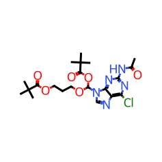 CC(=O)Nc1nc(Cl)c2ncn(C(OCCCOC(=O)C(C)(C)C)OC(=O)C(C)(C)C)c2n1